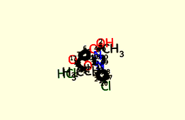 CC(O)C(Oc1ccc2c(c1)OC(C)(C)CC2=O)N1CCN(c2ccc(Cl)cc2)CC1.Cl